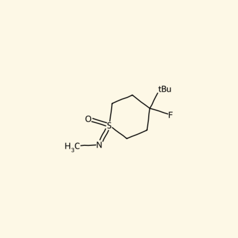 CN=S1(=O)CCC(F)(C(C)(C)C)CC1